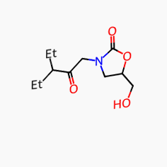 CCC(CC)C(=O)CN1CC(CO)OC1=O